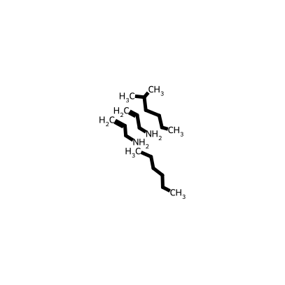 C=CCN.C=CCN.CCCCC(C)C.CCCCCC